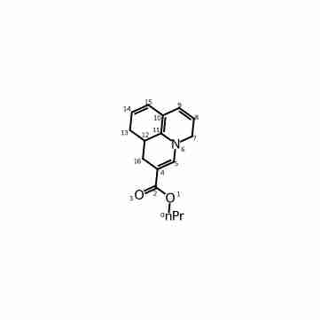 CCCOC(=O)C1=CN2CC=CC3=C2C(CC=C3)C1